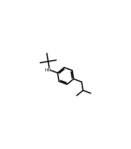 CC(C)Cc1ccc(NC(C)(C)C)cc1